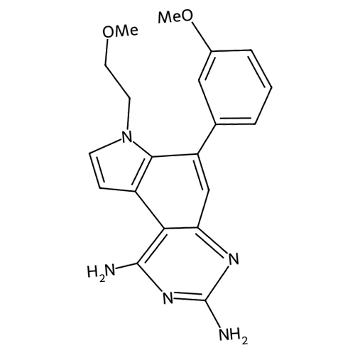 COCCn1ccc2c3c(N)nc(N)nc3cc(-c3cccc(OC)c3)c21